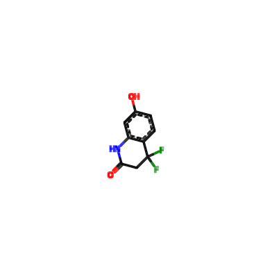 O=C1CC(F)(F)c2ccc(O)cc2N1